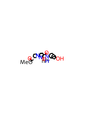 CCCOc1nc(N2CCC[C@@H](CC(=O)OC)C2)ccc1C(=O)NC1CCC2CC3C[C@@](O)(C2)CC31